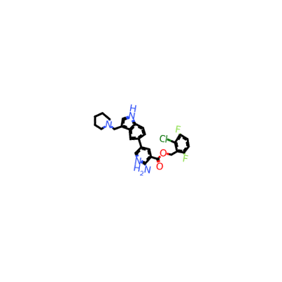 Nc1ncc(-c2ccc3[nH]cc(CN4CCCCC4)c3c2)cc1C(=O)OCc1c(F)ccc(F)c1Cl